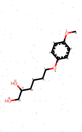 COc1ccc(OCCCCC(O)CO)cc1